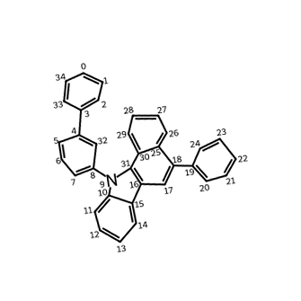 c1ccc(-c2cccc(-n3c4ccccc4c4cc(-c5ccccc5)c5ccccc5c43)c2)cc1